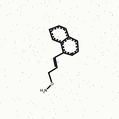 NOC/C=C/c1cccc2ccccc12